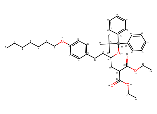 CCCCCCCOc1ccc(CCC(CC(C(=O)OCC)C(=O)OCC)O[Si](c2ccccc2)(c2ccccc2)C(C)(C)C)cc1